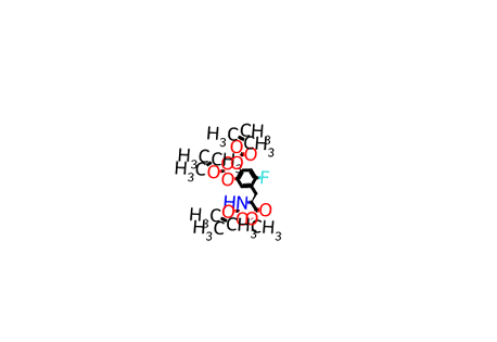 COC(=O)[C@H](Cc1cc(OC(=O)OC(C)(C)C)c(OC(=O)OC(C)(C)C)cc1F)NC(=O)OC(C)(C)C